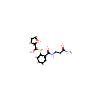 NC(=O)CCNC(=O)c1ccccc1SC(=O)c1ccco1